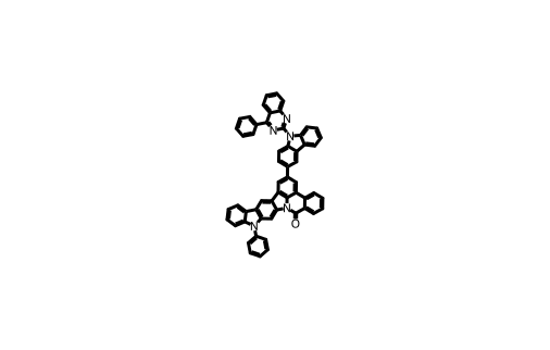 O=c1c2ccccc2c2cc(-c3ccc4c(c3)c3ccccc3n4-c3nc(-c4ccccc4)c4ccccc4n3)cc3c4cc5c6ccccc6n(-c6ccccc6)c5cc4n1c23